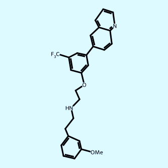 COc1cccc(CCNCCOc2cc(-c3ccc4ncccc4c3)cc(C(F)(F)F)c2)c1